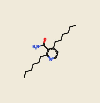 CCCCCCc1ccnc(CCCCCC)c1C(N)=O